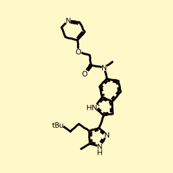 Cc1[nH]nc(-c2cc3ccc(N(C)C(=O)COC4=CC=NCC4)cc3[nH]2)c1CCC(C)(C)C